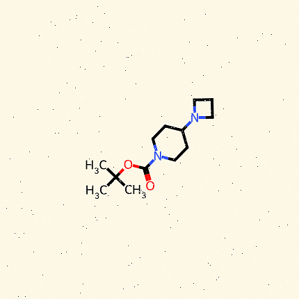 CC(C)(C)OC(=O)N1CCC(N2CCC2)CC1